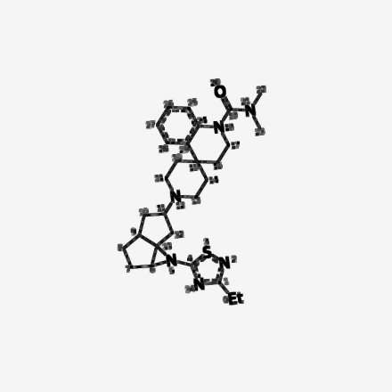 CCc1nsc(N2C3CCC4CC(N5CCC6(CCN(C(=O)N(C)C)c7ccccc76)CC5)CC432)n1